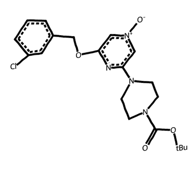 CC(C)(C)OC(=O)N1CCN(c2c[n+]([O-])cc(OCc3cccc(Cl)c3)n2)CC1